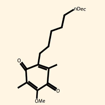 CCCCCCCCCCCCCCCC1=C(C)C(=O)C(OC)=C(C)C1=O